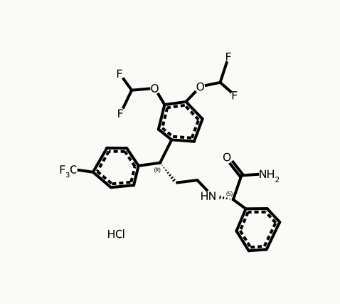 Cl.NC(=O)[C@@H](NCC[C@H](c1ccc(C(F)(F)F)cc1)c1ccc(OC(F)F)c(OC(F)F)c1)c1ccccc1